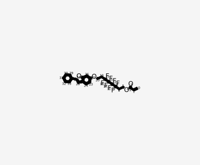 C=CC(=O)OCCC(F)(F)C(F)(F)C(F)(F)C(F)(F)CCOc1ccc2cc(-c3ccccc3)oc2c1